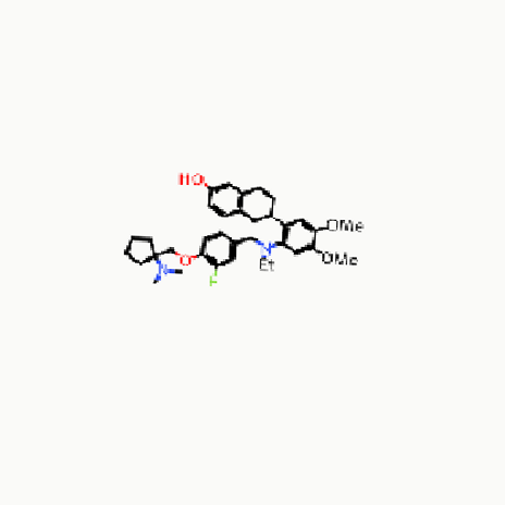 CCN(Cc1ccc(OCC2(N(C)C)CCCC2)c(F)c1)c1cc(OC)c(OC)cc1[C@@H]1CCc2cc(O)ccc2C1